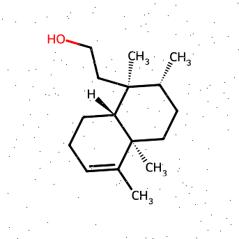 CC1=CCC[C@@H]2[C@@](C)(CCO)[C@H](C)CC[C@@]12C